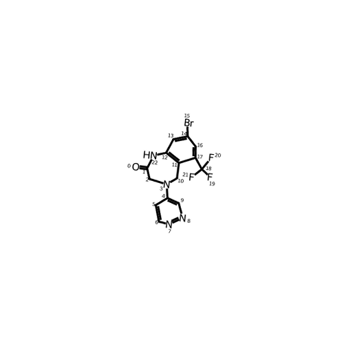 O=C1CN(c2ccnnc2)Cc2c(cc(Br)cc2C(F)(F)F)N1